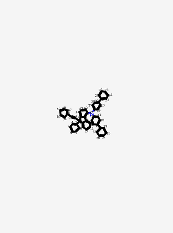 C(#CC1(c2ccccc2)c2ccccc2-c2c(N(c3ccc(-c4ccccc4)cc3)c3ccc(-c4ccccc4)cc3)cccc21)c1ccccc1